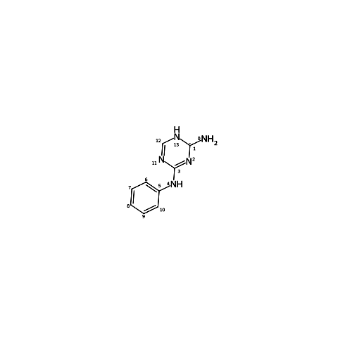 N[C]1N=C(Nc2ccccc2)N=CN1